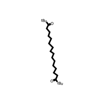 CC(C)(C)C(=O)CCCCCCCCCCCCCCC(=O)C(C)(C)C